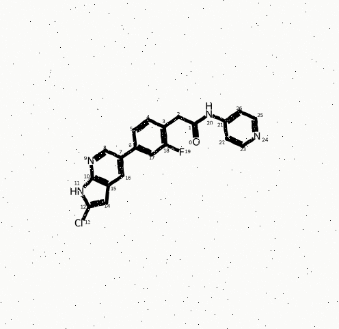 O=C(Cc1ccc(-c2cnc3[nH]c(Cl)cc3c2)cc1F)Nc1ccncc1